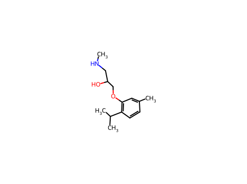 CNCC(O)COc1cc(C)ccc1C(C)C